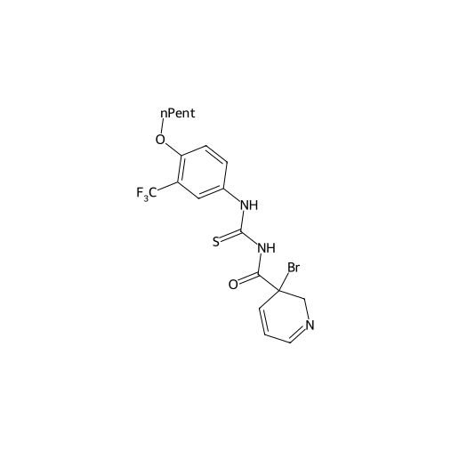 CCCCCOc1ccc(NC(=S)NC(=O)C2(Br)C=CC=NC2)cc1C(F)(F)F